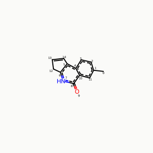 Cc1ccc2c3c([nH]c(=O)c2c1)CC=C3